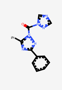 CC(C)c1nc(-c2ccccc2)nn1C(=O)n1cncn1